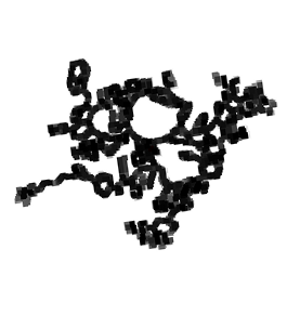 CCCCCCOc1ccc(SNC(=O)C[C@@H]2CC(=O)[C@H](NC(=O)[C@@H](CC)CC(C)C)[C@H](O)c3ccc(c(Cl)c3)Oc3cc4cc(c3O[C@@H]3O[C@H](CO)[C@H](O)[C@H](O)[C@@H]3O[C@H]3C[C@](C)(N)[C@H](O)[C@H](C)O3)Oc3ccc(cc3Cl)[C@H](O)[C@H]3NC(=O)[C@@H](CC(=O)[C@@H]4NC2=O)c2ccc(O)c(c2)-c2c(O)cc(O)cc2[C@@H](C(=O)CC2C4CC5CC(C4)CC2C5)NC3=O)cc1